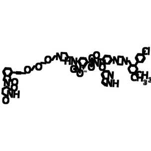 CC1(C)CCC(CN2CCN(c3ccc(C(=O)NS(=O)(=O)c4ccc(NCC5CCN(CCOCCOCCOCC#Cc6cccc7c6C(=O)N(C6CCC(=O)NC6=O)C7)CC5)c([N+](=O)[O-])c4)c(Oc4cnc5[nH]ccc5c4)c3)CC2)=C(c2ccc(Cl)cc2)C1